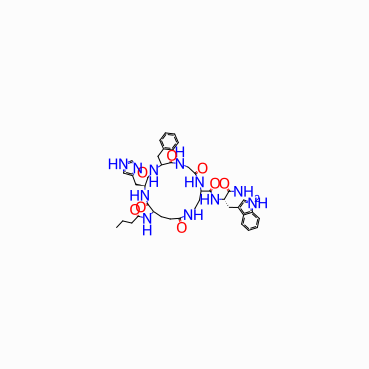 CCCC(=O)NC1CCC(=O)NCCC(C(=O)N[C@@H](Cc2c[nH]c3ccccc23)C(N)=O)NC(=O)CNC(=O)C(Cc2ccccc2)NC(=O)[C@H](Cc2c[nH]cn2)NC1=O